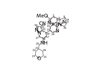 COc1ccc(CN2C3CC2CN(c2ccc(-c4cc(NCC5CCOCC5)cn5ncc(C#N)c45)cn2)C3)cn1